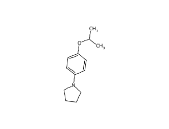 CC(C)Oc1ccc(N2CCCC2)cc1